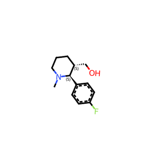 CN1CCC[C@H](CO)[C@H]1c1ccc(F)cc1